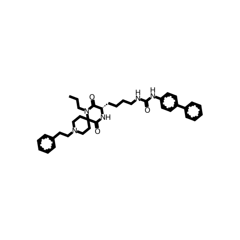 CCCN1C(=O)[C@H](CCCCNC(=O)Nc2ccc(-c3ccccc3)cc2)NC(=O)C12CCN(CCc1ccccc1)CC2